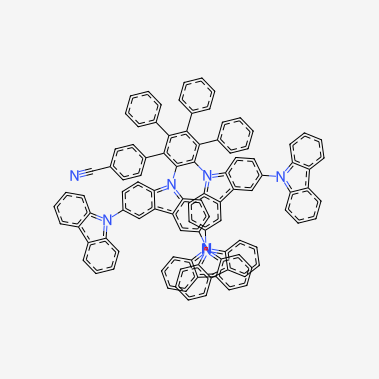 N#Cc1ccc(-c2c(-c3ccccc3)c(-c3ccccc3)c(-c3ccccc3)c(-n3c4ccc(-n5c6ccccc6c6ccccc65)cc4c4cc(-n5c6ccccc6c6ccccc65)ccc43)c2-n2c3ccc(-n4c5ccccc5c5ccccc54)cc3c3cc(-n4c5ccccc5c5ccccc54)ccc32)cc1